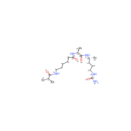 CCC(CC)C(=O)NCCCCCC(=O)N[C@H](C(=O)N[C@@H](CCCNC(N)=O)C(C)=O)C(C)C